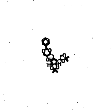 CC1(C)O[C@@H]2[C@@H]([C@H]3COC(C)(C)O3)[C@H](C[C@H]3OC(c4ccccc4)OC[C@@H]3O)C[C@@H]2O1